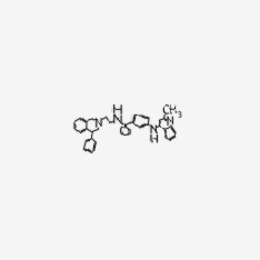 Cc1cc(Nc2cccc(C(=O)NCCN3Cc4ccccc4C(c4ccccc4)C3)c2)c2ccccc2n1